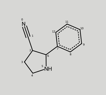 N#CC1CCNC1c1ccccc1